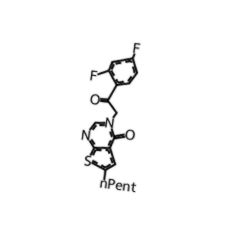 CCCCCc1cc2c(=O)n(CC(=O)c3ccc(F)cc3F)cnc2s1